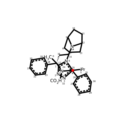 Cc1nnc(C(C)C)n1C1CC2CCC(C1)N2CC[C@@H](c1ccccc1)N(Cc1ccccc1)C(=O)O